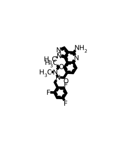 CC(=O)N(C)N(Cc1c(F)cc(F)cc1F)C(=O)c1ccc2nc(N)c3cnn(C)c3c2c1